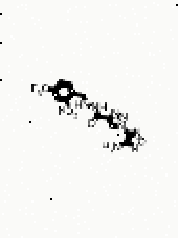 Nc1nonc1-n1cc(C(=O)NNCc2ccc(C(F)(F)F)cc2[N+](=O)[O-])nn1